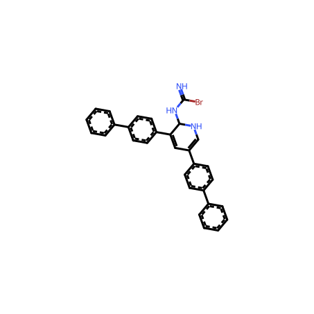 N=C(Br)NC1NC=C(c2ccc(-c3ccccc3)cc2)C=C1c1ccc(-c2ccccc2)cc1